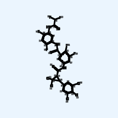 O=C(Nc1cc(NC(=O)C(F)F)c(F)cc1F)c1cc(NC(=O)[C@H]2C(c3cc(Cl)c(Cl)c(Cl)c3)C2(Cl)Cl)cc(F)c1F